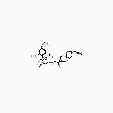 COc1cc(C)c(S(=O)(=O)N(C)CCOCC(=O)N2CCC3(CCN(CC#N)CC3)CC2)c(C)c1